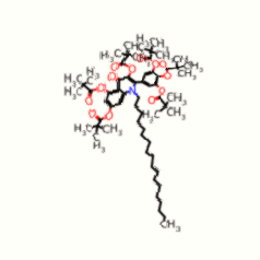 CCCCCCCCCCCCCCCCCCn1c(-c2cc(OC(=O)C(C)(C)C)c(OC(=O)C(C)(C)C)c(OC(=O)C(C)(C)C)c2)c(OC(=O)C(C)(C)C)c(=O)c2c(OC(=O)C(C)(C)C)cc(OC(=O)C(C)(C)C)cc21